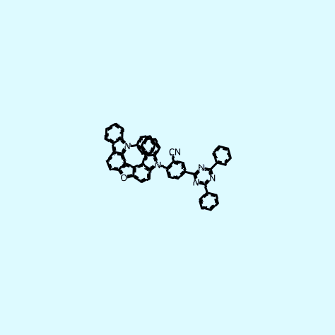 N#Cc1cc(-c2nc(-c3ccccc3)nc(-c3ccccc3)n2)ccc1-n1c2ccccc2c2c3c(ccc21)oc1ccc2c4ccccc4n(-c4ccccc4)c2c13